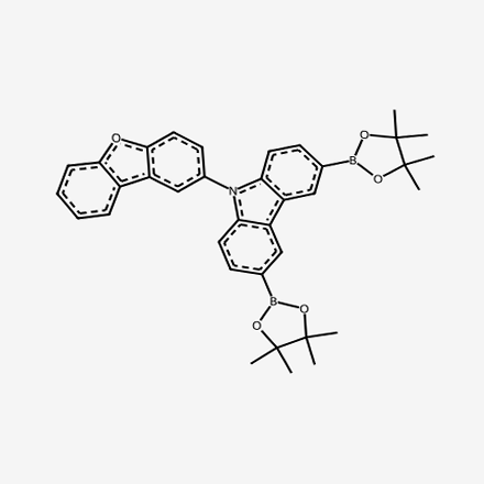 CC1(C)OB(c2ccc3c(c2)c2cc(B4OC(C)(C)C(C)(C)O4)ccc2n3-c2ccc3oc4ccccc4c3c2)OC1(C)C